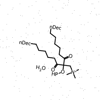 CCCCCCCCCCCCCCCC(=O)C(C[N+](C)(C)C)(O[PH-])C(=O)CCCCCCCCCCCCCCC.O